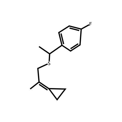 CC(CSC(C)c1ccc(F)cc1)=C1CC1